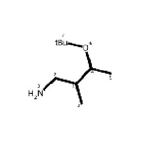 CC(CN)C(C)OC(C)(C)C